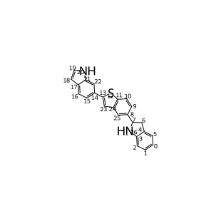 c1ccc2c(c1)CC(c1ccc3sc(-c4ccc5cc[nH]c5c4)cc3c1)N2